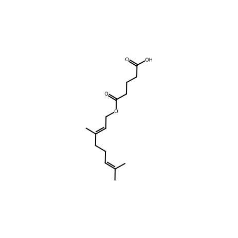 CC(C)=CCCC(C)=CCOC(=O)CCCC(=O)O